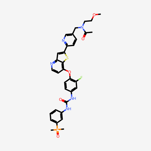 COCCN(Cc1ccc(-c2cc3nccc(Oc4ccc(NC(=O)Nc5cccc(P(C)(C)=O)c5)cc4F)c3s2)nc1)C(C)=O